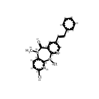 CCN1c2ncc(/C=C/c3ccccc3)cc2C(=O)N(C)c2ccc(Cl)nc21